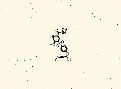 CC#CC(CC)Oc1ccc(S(=O)(=O)C2CC(C(=O)NO)NCC2O)cc1